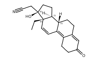 CC[C@]12C=CC3=C4CCC(=O)C=C4CC[C@H]3[C@@H]1CC[C@@]2(O)CC#N